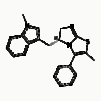 CC1=C(c2ccccc2)N2C(=NC[C@H]2Cc2cn(C)c3ccccc23)S1